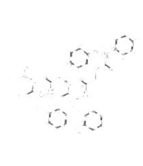 C[C@H](NC(=O)[C@@H](Cc1ccccc1)NC(=O)[C@H](Cc1ccc(C(F)(F)F)cc1)NC(=O)[C@@H](Cc1ccccc1Cl)NC(=O)CCC(=O)Nc1ccccc1)C(=O)O